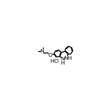 CN(C)CCOc1ccc2c(c1)NNC1=C2C=CC=CC1.Cl